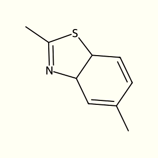 CC1=CC2N=C(C)SC2C=C1